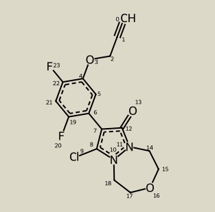 C#CCOc1cc(-c2c(Cl)n3n(c2=O)CCOCC3)c(F)cc1F